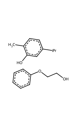 Cc1ccc(C(C)C)cc1O.OCCOc1ccccc1